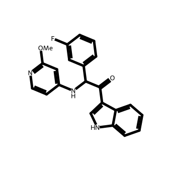 COc1cc(NC(C(=O)c2c[nH]c3ccccc23)c2cccc(F)c2)ccn1